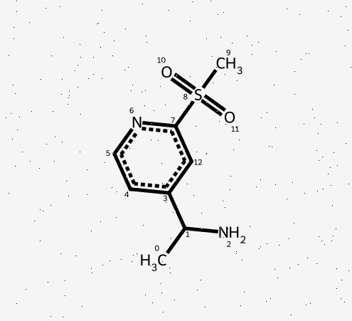 CC(N)c1ccnc(S(C)(=O)=O)c1